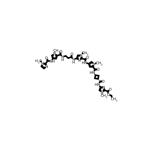 CCOC(=O)c1nc(NC(=O)[C@H]2C[C@H](NC(=O)c3cc(NC(=O)c4nc(NC(=O)CCNC(=O)c5cc(NC(=O)c6nccn6C)cn5C)cn4C)cn3C)C2)cn1C